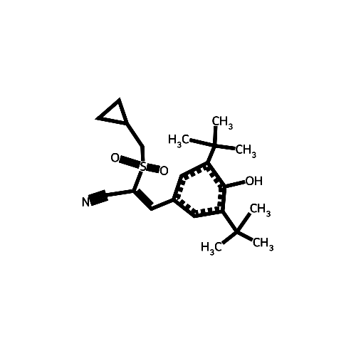 CC(C)(C)c1cc(C=C(C#N)S(=O)(=O)CC2CC2)cc(C(C)(C)C)c1O